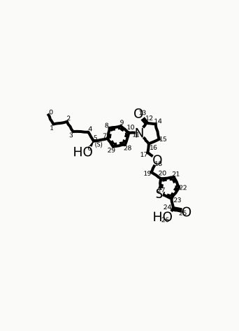 CCCCC[C@H](O)c1ccc(N2C(=O)CCC2COCc2ccc(C(=O)O)s2)cc1